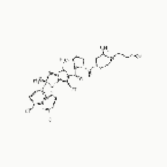 CC(C)C1=C(C(=O)N2[C@H](C)CC[C@@H]2C(=O)N2CCN(CCCO)[C@H](C)C2)SC2=N[C@@](C)(c3ccc(Cl)cc3)[C@@H](c3ccc(Cl)cc3)N21